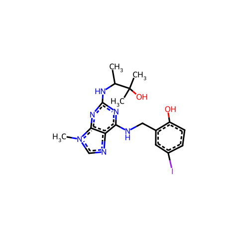 CC(Nc1nc(NCc2cc(I)ccc2O)c2ncn(C)c2n1)C(C)(C)O